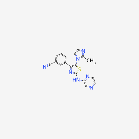 Cc1nccn1-c1sc(Nc2cnccn2)nc1-c1cccc(C#N)c1